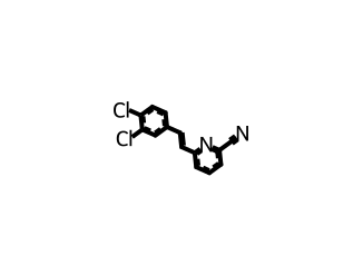 N#Cc1cccc(C=Cc2ccc(Cl)c(Cl)c2)n1